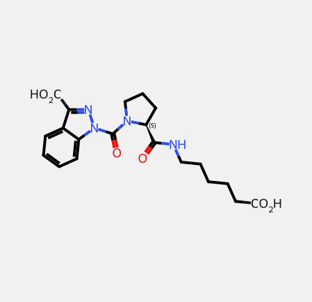 O=C(O)CCCCCNC(=O)[C@@H]1CCCN1C(=O)n1nc(C(=O)O)c2ccccc21